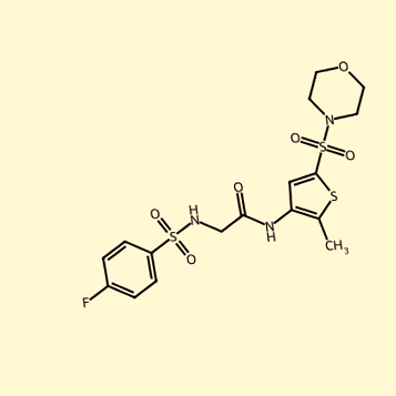 Cc1sc(S(=O)(=O)N2CCOCC2)cc1NC(=O)CNS(=O)(=O)c1ccc(F)cc1